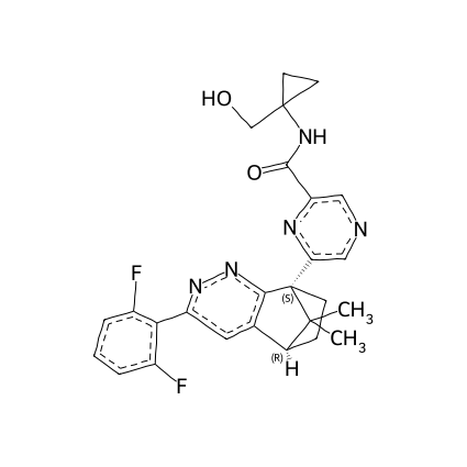 CC1(C)[C@H]2CC[C@]1(c1cncc(C(=O)NC3(CO)CC3)n1)c1nnc(-c3c(F)cccc3F)cc12